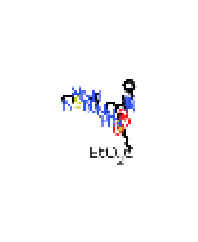 CCOC(=O)CCCCCS(=O)(=O)NC(=O)c1nc(N(C)c2cc(C)c(Nc3nc4cccnc4s3)nn2)ccc1-c1cnn(CC2CCCCC2)c1C